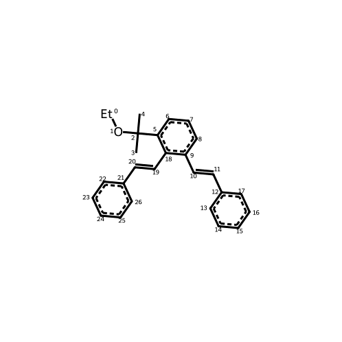 CCOC(C)(C)c1cccc(/C=C/c2ccccc2)c1/C=C/c1ccccc1